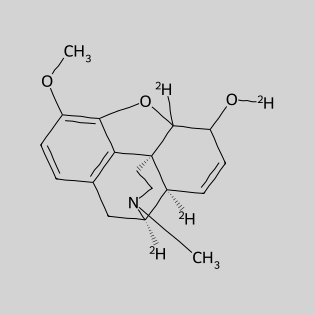 [2H]OC1C=C[C@@]2([2H])[C@@]3([2H])Cc4ccc(OC)c5c4[C@@]2(CCN3C)C1([2H])O5